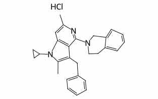 Cc1cc2c(c(N3CCc4ccccc4C3)n1)c(Cc1ccccc1)c(C)n2C1CC1.Cl